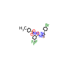 Cc1ccc(S(=O)(=O)Nc2ccc(C(F)(F)F)cc2C(=O)Nc2nc(-c3ccc(Br)cc3)cs2)cc1